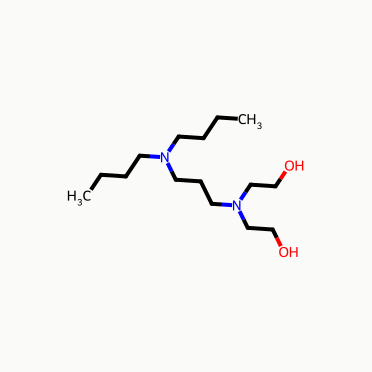 CCCCN(CCCC)CCCN(CCO)CCO